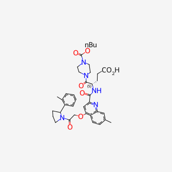 CCCCOC(=O)N1CCN(C(=O)[C@H](CCC(=O)O)NC(=O)c2cc(OCC(=O)N3CCCC3c3ccccc3C)c3ccc(C)cc3n2)CC1